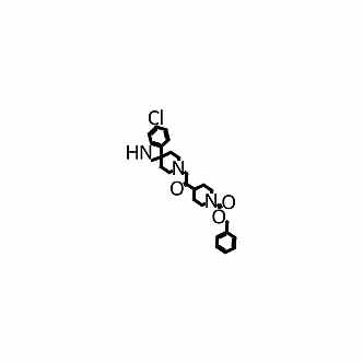 O=C(CN1CCC2(CC1)CNc1cc(Cl)ccc12)C1CCN(C(=O)OCc2ccccc2)CC1